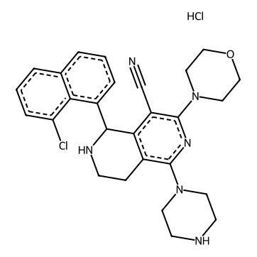 Cl.N#Cc1c(N2CCOCC2)nc(N2CCNCC2)c2c1C(c1cccc3cccc(Cl)c13)NCC2